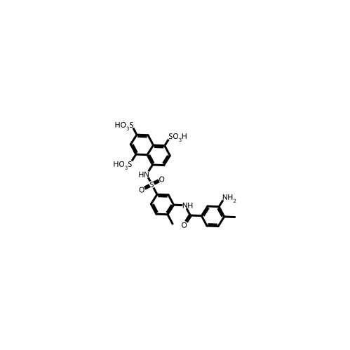 Cc1ccc(C(=O)Nc2cc(S(=O)(=O)Nc3ccc(S(=O)(=O)O)c4cc(S(=O)(=O)O)cc(S(=O)(=O)O)c34)ccc2C)cc1N